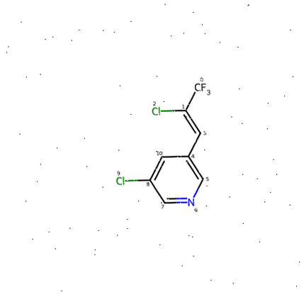 FC(F)(F)/C(Cl)=C/c1cn[c]c(Cl)c1